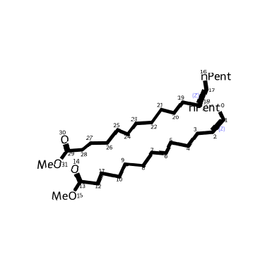 CCCCC/C=C\CCCCCCCCCCC(=O)OC.CCCCC/C=C\CCCCCCCCCCC(=O)OC